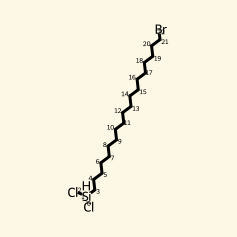 Cl[SiH](Cl)CCCCCCCCCCCCCCCCCCCBr